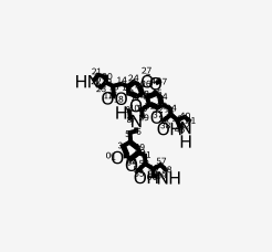 COc1cc(CCN(CCOc2cc(CC(C(=O)O)C3CCNC3)cc(OC)c2)CCc2cc(CC(C(=O)O)C3CCNC3)cc(OC)c2)cc(CC(C(=O)O)C2CCNC2)c1